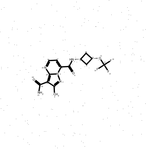 Cc1nn2c(C(=O)N[C@H]3C[C@@H](OC(F)(F)F)C3)ccnc2c1C(N)=O